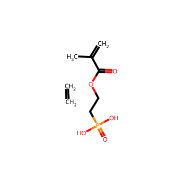 C=C.C=C(C)C(=O)OCCP(=O)(O)O